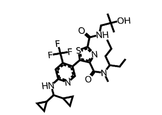 CCCC(CC)N(C)C(=O)c1nc(C(=O)NCC(C)(C)O)sc1-c1cnc(NC(C2CC2)C2CC2)cc1C(F)(F)F